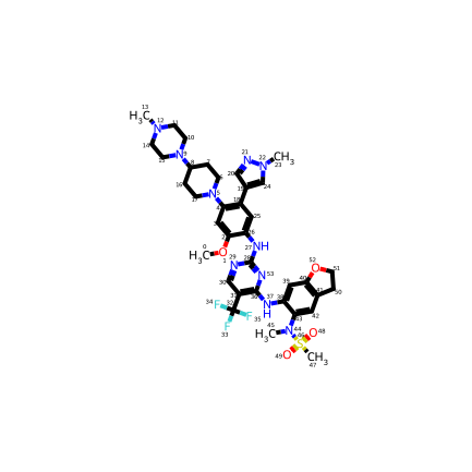 COc1cc(N2CCC(N3CCN(C)CC3)CC2)c(-c2cnn(C)c2)cc1Nc1ncc(C(F)(F)F)c(Nc2cc3c(cc2N(C)S(C)(=O)=O)CCO3)n1